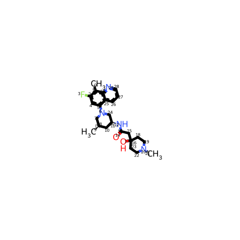 Cc1c(F)cc(N2C[C@@H](C)C[C@@H](NC(=O)CC3(O)CCN(C)CC3)C2)c2cccnc12